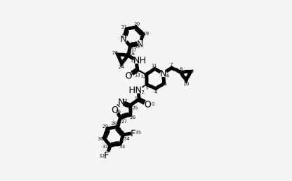 O=C(N[C@H]1CCN(CC2CC2)C[C@@H]1C(=O)NC1(c2ncccn2)CC1)c1cc(-c2ccc(F)cc2F)on1